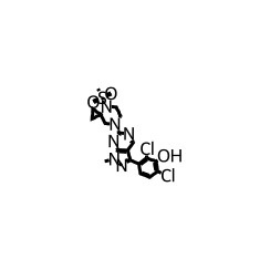 Cn1nc(-c2ccc(Cl)c(O)c2Cl)c2cnc(N3CCN(S(C)(=O)=O)C4(CC4)C3)nc21